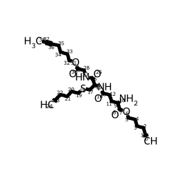 C#CCCCCOC(=O)C(N)CCC(=O)NC(CSCCCCC#C)C(=O)NCC(=O)OCCCCC#CC